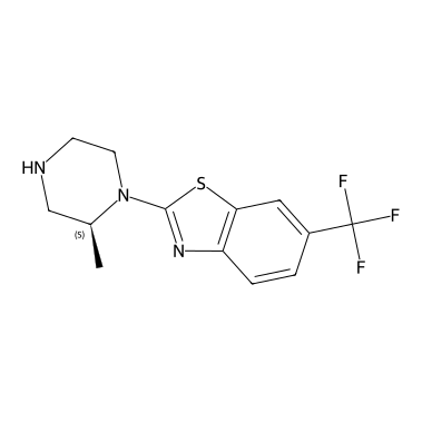 C[C@H]1CNCCN1c1nc2ccc(C(F)(F)F)cc2s1